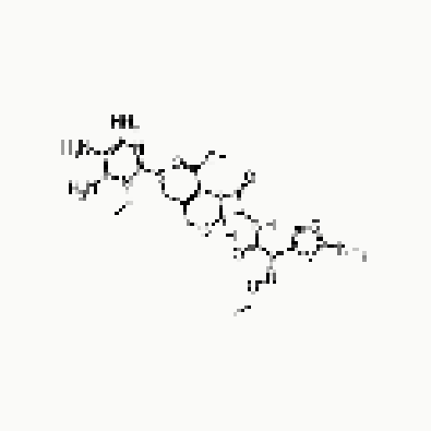 CCO/N=C(\C(=O)NC1C(=O)N2C(C(=O)O)=C(CSC3=NC(N)=C(N)C(N)N3CC)CS[C@@H]12)c1csc(N)n1